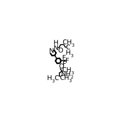 CCC(C)CC(=O)Nc1cc(-c2ccc(OCC(C)(N)CC(C)C)c(C(F)(F)F)c2)ccn1